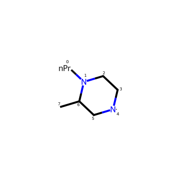 CCCN1CC[N]CC1C